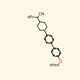 CCCCCCOc1ccc(-c2ccc(C3CCC(C(C#N)CCC)CC3)cc2)cc1